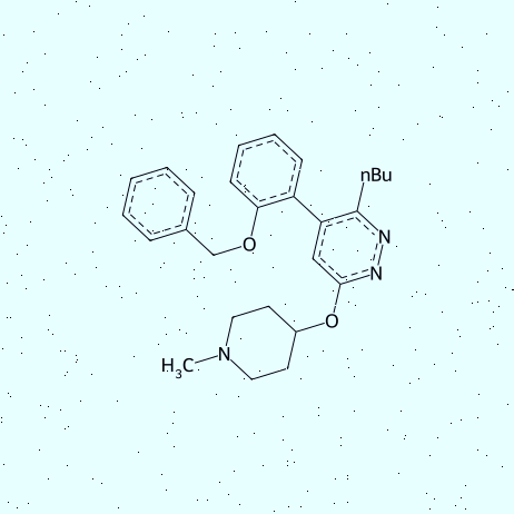 CCCCc1nnc(OC2CCN(C)CC2)cc1-c1ccccc1OCc1ccccc1